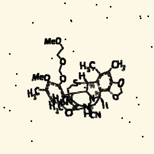 COCCOCOc1c(OC)c(C)cc2c1C1C3[C@@H]4SCC(C)C(=O)NC[C@@H](c5c6c(c(C)c(C)c54)OCO6)N3[C@@H](C#N)C(C2)N1C